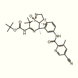 Cc1cc(C#N)cnc1C(=O)Nc1ccc(F)c([C@@]2(C)N=C(NC(=O)OC(C)(C)C)C(C)(C)[S@@]3(=O)=NCC[C@@H]23)c1